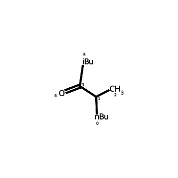 CCCCC(C)C(=O)C(C)CC